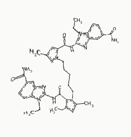 CCn1cc(C)c(CCCCCn2nc(C)cc2C(=O)Nc2nc3cc(C(N)=O)ccc3n2CC)c1C(=O)Nc1nc2cc(C(N)=O)ccc2n1CC